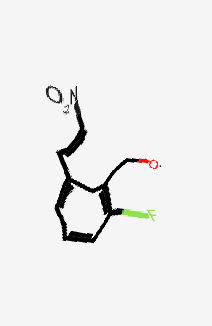 [O]Cc1c(F)cccc1/C=C/[N+](=O)[O-]